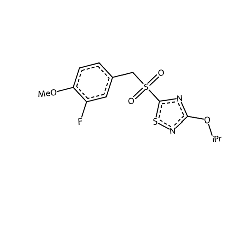 COc1ccc(CS(=O)(=O)c2nc(OC(C)C)ns2)cc1F